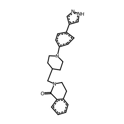 O=C1c2ccccc2CCN1CC1CCN(c2ccc(-c3cn[nH]c3)cc2)CC1